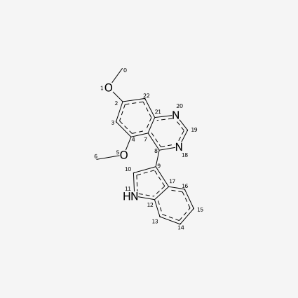 COc1cc(OC)c2c(-c3c[nH]c4ccccc34)ncnc2c1